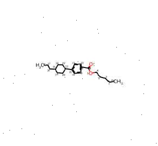 CCCCCOC(=O)c1ccc(C2CCC(CCC)CC2)cc1